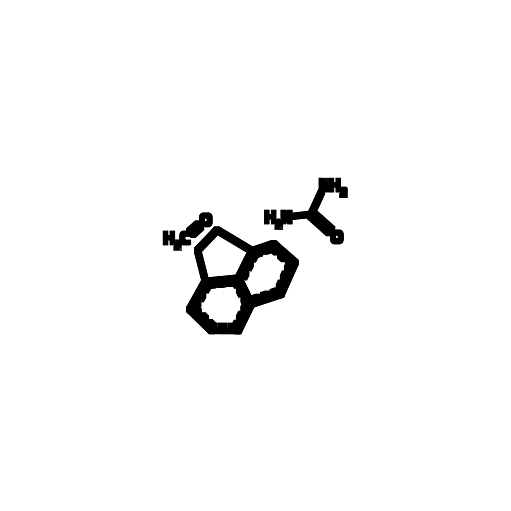 C=O.NC(N)=O.c1cc2c3c(cccc3c1)CC2